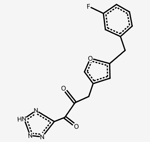 O=C(Cc1coc(Cc2cccc(F)c2)c1)C(=O)c1nn[nH]n1